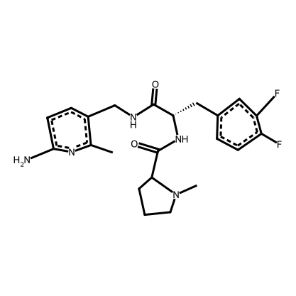 Cc1nc(N)ccc1CNC(=O)[C@H](Cc1ccc(F)c(F)c1)NC(=O)C1CCCN1C